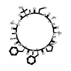 CC[C@H](C)[C@@H]1NC(=O)[C@@H]2CCCN2C(=O)[C@@H](Cc2ccccc2)N(C)C(=O)[C@@H](Cc2ccccc2)NC(=O)[C@@H](C(C)C)N(C)C(=O)[C@H]([C@@H](C)CC)OC(=O)[C@@H](C(C)(C)O)N(C)C(=O)C(CC(C)C)NC(=O)[C@H](C(C)C)NC1=O